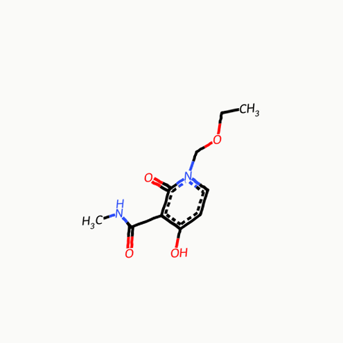 CCOCn1ccc(O)c(C(=O)NC)c1=O